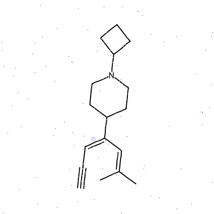 C#C/C=C(\C=C(C)C)C1CCN(C2CCC2)CC1